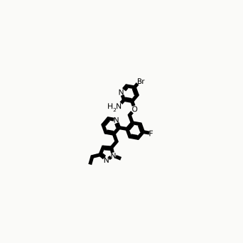 CCc1cc(Cc2cccnc2-c2ccc(F)cc2COc2cc(Br)cnc2N)n(C)n1